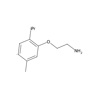 Cc1[c]cc(C(C)C)c(OCCN)c1